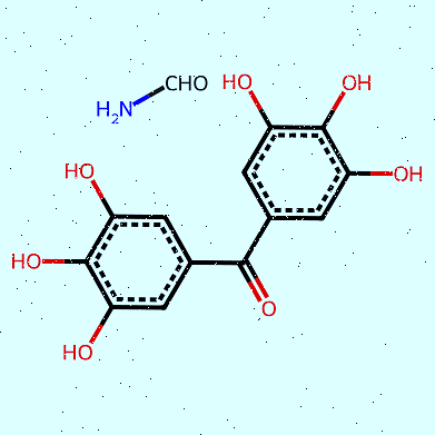 NC=O.O=C(c1cc(O)c(O)c(O)c1)c1cc(O)c(O)c(O)c1